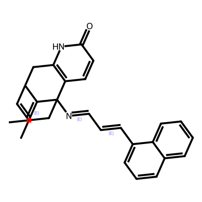 C/C=C1\C2C=C(C)CC1(/N=C/C=C/c1cccc3ccccc13)c1ccc(=O)[nH]c1C2